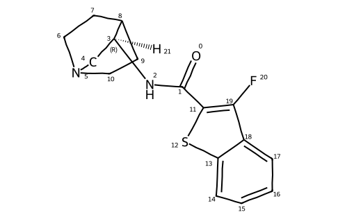 O=C(N[C@H]1CN2CCC1CC2)c1sc2ccccc2c1F